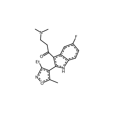 CCc1noc(C)c1-c1[nH]c2ccc(F)cc2c1C(=O)CCN(C)C